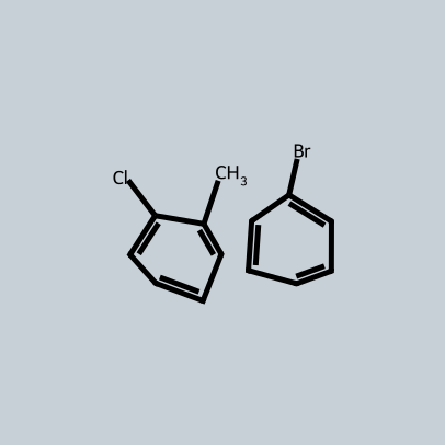 Brc1ccccc1.Cc1ccccc1Cl